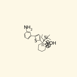 CCC(C(=O)O)([C@]1(c2ccc(-c3cccc(N)c3)s2)CCCCS1(=O)=O)[Si](C)(C)C